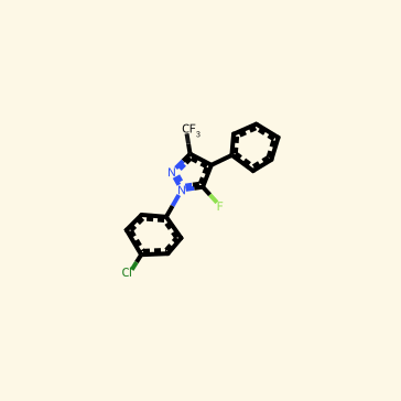 Fc1c(-c2ccccc2)c(C(F)(F)F)nn1-c1ccc(Cl)cc1